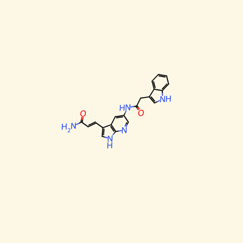 NC(=O)C=Cc1c[nH]c2ncc(NC(=O)Cc3c[nH]c4ccccc34)cc12